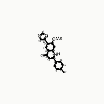 COc1cc2[nH]c(-c3ccc(C)cc3)cc(=O)c2cc1-c1cnco1